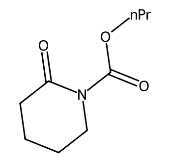 CCCOC(=O)N1CCCCC1=O